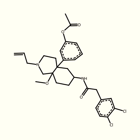 C=CCN1CCC2(c3cccc(OC(C)=O)c3)CC(NC(=O)Cc3ccc(Cl)c(Cl)c3)CCC2(OC)C1